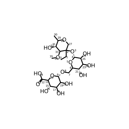 CCC1(O[C@H]2OC(CO[C@H]3OC(C(=O)O)[C@@H](O)C(O)C3O)[C@@H](O)C(O)C2O)COC(C)[C@H](O)C1OC